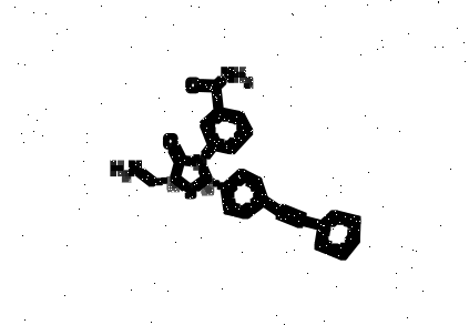 NC[C@H]1S[C@@H](c2ccc(C#Cc3ccccc3)cc2)N(c2cccc(C(N)=O)c2)C1=O